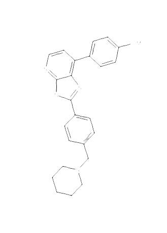 COc1ccc(-c2ccnc3[nH]c(-c4ccc(CN5CCCCC5)cc4)nc23)cc1.Cl